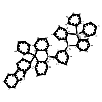 c1ccc(C2(c3ccc4c(c3)oc3ccccc34)c3ccccc3N(c3cccc(N4c5ccccc5[Si](c5ccccc5)(c5ccccc5)c5ccccc54)c3)c3ccccc32)cc1